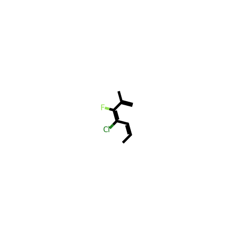 C=C(C)/C(F)=C(Cl)\C=C/C